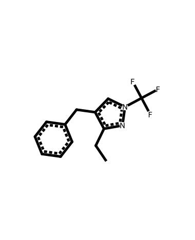 CCc1nn(C(F)(F)F)cc1Cc1ccccc1